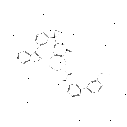 O=C(C(O)c1cccc(-c2cccc(OC(F)(F)F)c2)c1)N1CCCc2nc(C3(c4cccc(-c5csc6ccccc56)c4)CC3)[nH]c(=O)c2C1